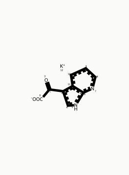 O=C([O-])C(=O)c1c[nH]c2ncccc12.[K+]